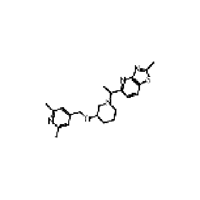 Cc1cc(COC2CCCN(C(C)c3ccc4sc(C)nc4n3)C2)cc(C)n1